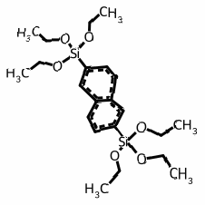 CCO[Si](OCC)(OCC)c1ccc2cc([Si](OCC)(OCC)OCC)ccc2c1